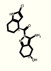 Nc1c2c(nn1C(=O)[C@H]1CCCc3[nH]c(Cl)cc31)CC[C@H](O)C2